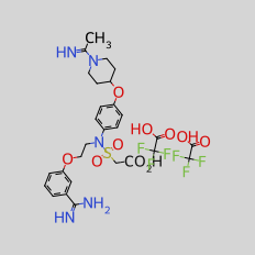 CC(=N)N1CCC(Oc2ccc(N(CCOc3cccc(C(=N)N)c3)S(=O)(=O)CC(=O)O)cc2)CC1.O=C(O)C(F)(F)F.O=C(O)C(F)(F)F